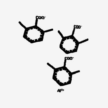 Cc1cccc(C)c1C(=O)[O-].Cc1cccc(C)c1C(=O)[O-].Cc1cccc(C)c1C(=O)[O-].[Al+3]